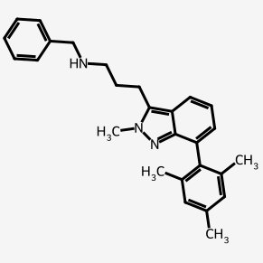 Cc1cc(C)c(-c2cccc3c(CCCNCc4ccccc4)n(C)nc23)c(C)c1